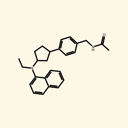 CCN(c1cccc2ccccc12)C1CCC(c2ccc(CNC(C)=O)cc2)C1